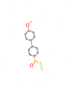 COc1ccc(-c2ccc(P(=O)=S=S)cc2)cc1